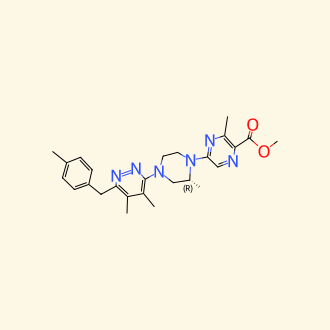 COC(=O)c1ncc(N2CCN(c3nnc(Cc4ccc(C)cc4)c(C)c3C)C[C@H]2C)nc1C